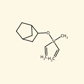 C=C[Si](C)(C=C)OC1CC2CCC1C2